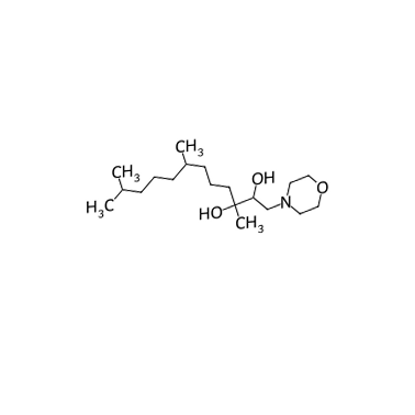 CC(C)CCCC(C)CCCC(C)(O)C(O)CN1CCOCC1